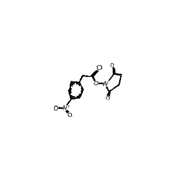 O=C(Cc1ccc([N+](=O)[O-])cc1)ON1C(=O)CCC1=O